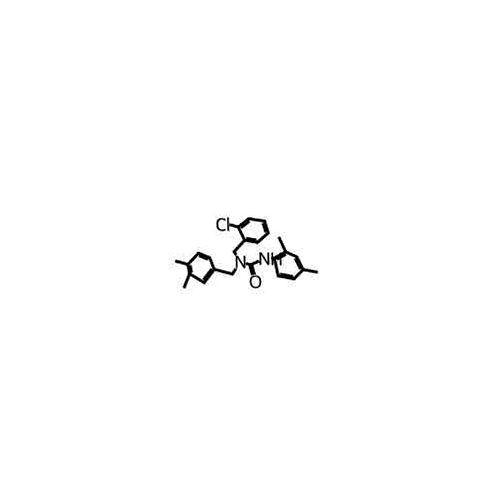 Cc1ccc(NC(=O)N(Cc2ccc(C)c(C)c2)Cc2ccccc2Cl)c(C)c1